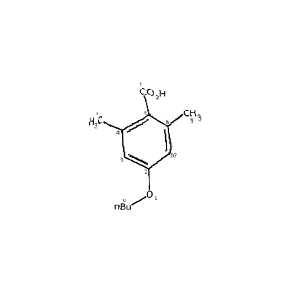 CCCCOc1cc(C)c(C(=O)O)c(C)c1